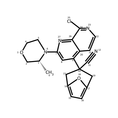 C[C@@H]1COCCN1c1cc(C2(C#N)Cc3ccc(o3)C2)c2ccnc(Cl)c2n1